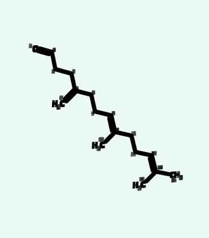 C=C(CCC=O)CC/C=C(\C)CCC=C(C)C